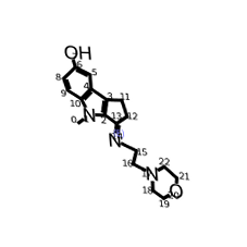 Cn1c2c(c3cc(O)ccc31)CC/C2=N\CCN1CCOCC1